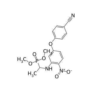 COP(=O)(OC)C(C)Nc1cc(Oc2ccc(C#N)cc2)ccc1[N+](=O)[O-]